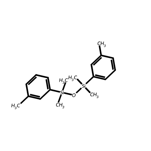 Cc1cccc([Si](C)(C)O[Si](C)(C)c2cccc(C)c2)c1